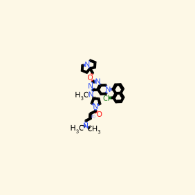 CN(C)C/C=C/C(=O)N1CC[C@@H](N(C)c2nc(OCC34CCCN3CCC4)nc3c2CCN(c2cccc4cccc(Cl)c24)C3)C1